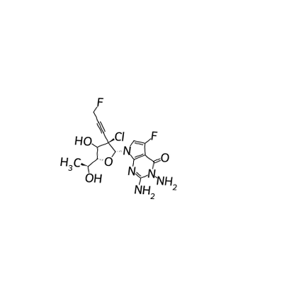 C[C@H](O)[C@H]1O[C@@H](n2cc(F)c3c(=O)n(N)c(N)nc32)[C@@](Cl)(C#CCF)C1O